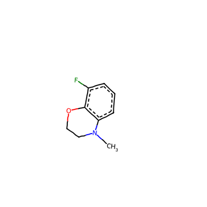 CN1CCOc2c(F)cccc21